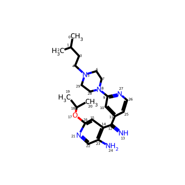 CC(C)CCN1CCN(c2cc(C(=N)c3cc(OC(C)C)ncc3N)ccn2)CC1